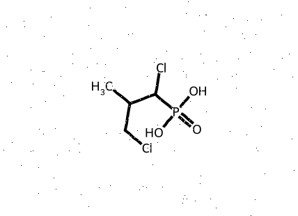 CC(CCl)C(Cl)P(=O)(O)O